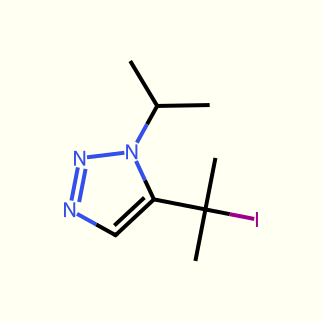 CC(C)n1nncc1C(C)(C)I